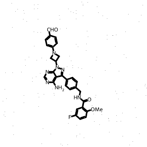 COc1ccc(F)cc1C(=O)NCc1ccc(-c2nn(C3CN(c4ccc(C=O)cc4)C3)c3ncnc(N)c23)cc1